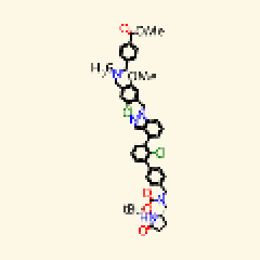 COC(=O)c1ccc(CN(C)Cc2cc(Cl)c(Cn3ncc4c(-c5cccc(-c6ccc(CN(C[C@@H]7CCC(=O)N7)C(=O)OC(C)(C)C)cc6)c5Cl)cccc43)cc2OC)cc1